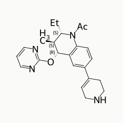 CC[C@H]1[C@H](C)[C@@H](Oc2ncccn2)c2cc(C3=CCNCC3)ccc2N1C(C)=O